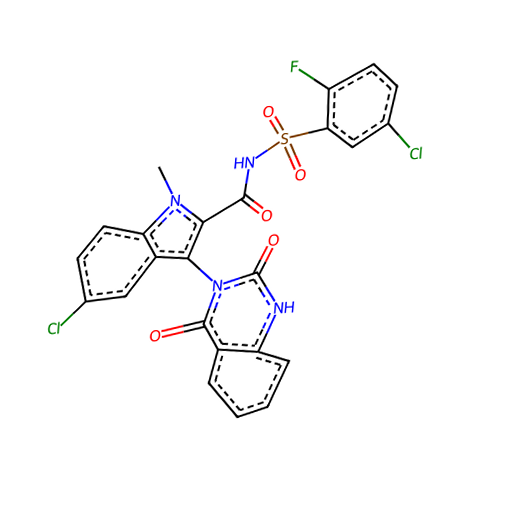 Cn1c(C(=O)NS(=O)(=O)c2cc(Cl)ccc2F)c(-n2c(=O)[nH]c3ccccc3c2=O)c2cc(Cl)ccc21